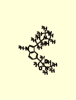 [2H]N(C([2H])([2H])[2H])S(=O)(=O)C([2H])([2H])c1ccc2c(c1)c(C([2H])([2H])C([2H])([2H])N(C([2H])([2H])[2H])C([2H])([2H])[2H])cn2[2H]